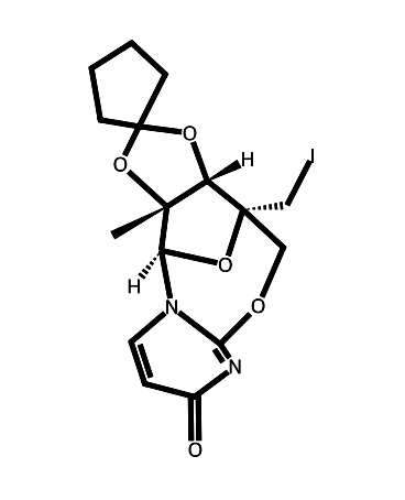 C[C@@]12OC3(CCCC3)O[C@@H]1[C@@]1(CI)COc3nc(=O)ccn3[C@@H]2O1